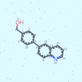 OCc1ccc(-c2ccc3ncccc3c2)cc1